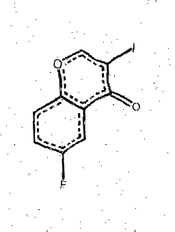 O=c1c(I)coc2ccc(F)cc12